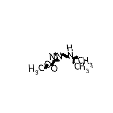 CCOC(=O)c1cn(CCNC(CC)CC)cn1